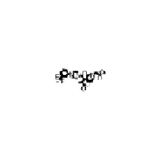 COC(=O)CN1CCC2(CC1)OC(=O)C(C)=C2C(=O)N1CCN(c2cccc(C(F)(F)F)c2)CC1